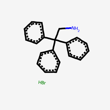 Br.NCC(c1ccccc1)(c1ccccc1)c1ccccc1